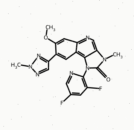 COc1cc2ncc3c(c2cc1-c1cnn(C)n1)n(-c1ncc(F)cc1F)c(=O)n3C